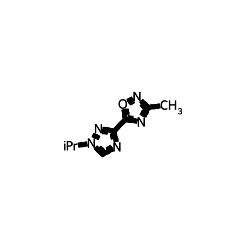 Cc1noc(-c2ncn(C(C)C)n2)n1